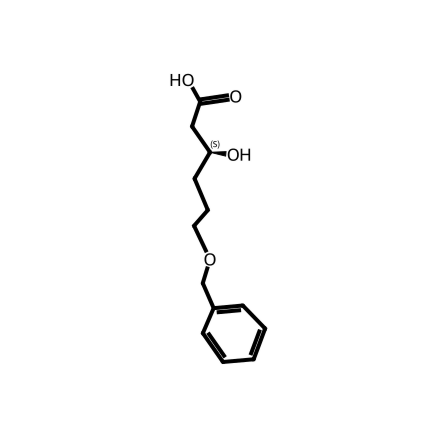 O=C(O)C[C@@H](O)CCCOCc1ccccc1